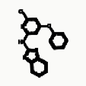 Clc1cc(Oc2ccccc2)cc(Nc2nc3ccccc3s2)n1